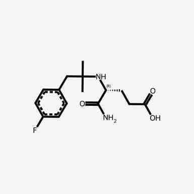 CC(C)(Cc1ccc(F)cc1)N[C@H](CCC(=O)O)C(N)=O